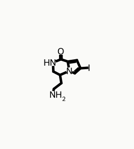 NCCC1CNC(=O)c2cc(I)cn21